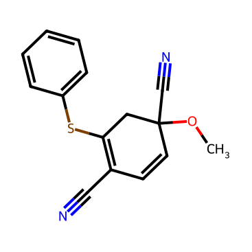 COC1(C#N)C=CC(C#N)=C(Sc2ccccc2)C1